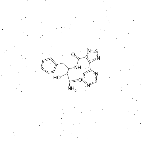 NC(=O)C(O)C(Cc1ccccc1)NC(=O)c1nsnc1-c1ccncn1